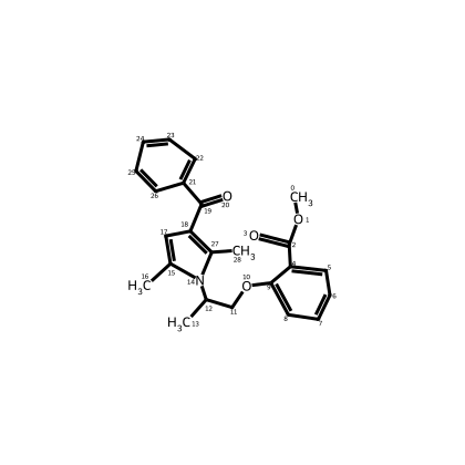 COC(=O)c1ccccc1OCC(C)n1c(C)cc(C(=O)c2ccccc2)c1C